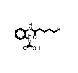 O=C(O)Nc1ccccc1NC(=O)CCCCBr